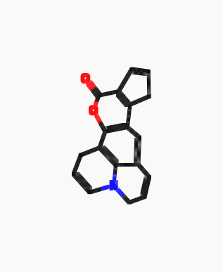 O=c1oc2c3c4c(cc2c2c1C=CC2)C=CCN4C=CC3